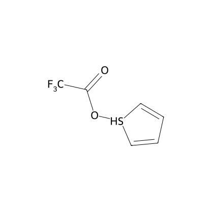 O=C(O[SH]1C=CC=C1)C(F)(F)F